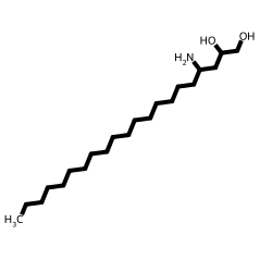 CCCCCCCCCCCCCCCCCC(N)CC(O)CO